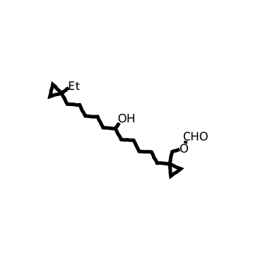 CCC1(CCCCCC(O)CCCCCC2(COC=O)CC2)CC1